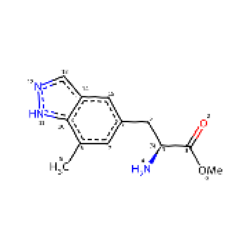 COC(=O)[C@@H](N)Cc1cc(C)c2[nH]ncc2c1